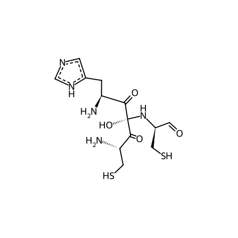 N[C@@H](CS)C(=O)[C@](O)(N[C@@H](C=O)CS)C(=O)[C@@H](N)Cc1cnc[nH]1